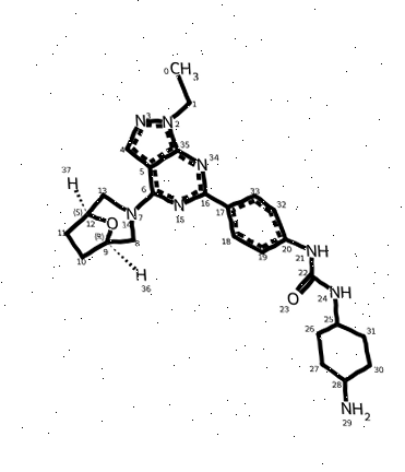 CCn1ncc2c(N3C[C@H]4CC[C@@H](C3)O4)nc(-c3ccc(NC(=O)NC4CCC(N)CC4)cc3)nc21